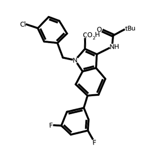 CC(C)(C)C(=O)Nc1c(C(=O)O)n(Cc2cccc(Cl)c2)c2cc(-c3cc(F)cc(F)c3)ccc12